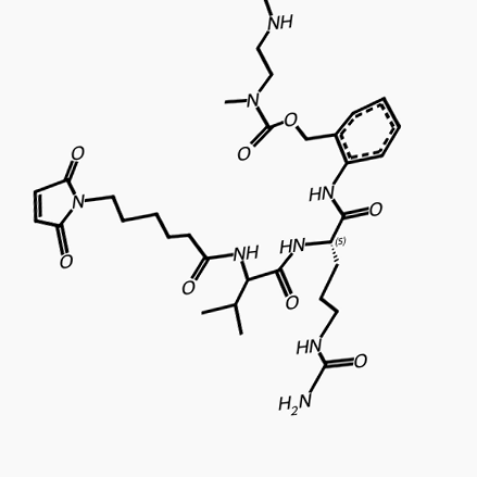 CNCCN(C)C(=O)OCc1ccccc1NC(=O)[C@H](CCCNC(N)=O)NC(=O)C(NC(=O)CCCCCN1C(=O)C=CC1=O)C(C)C